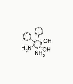 Nc1c(N)c(-c2ccccc2)c(-c2ccccc2)c(O)c1O